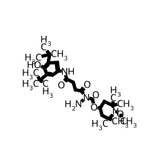 CON1C(C)(C)CC(OC(=O)N(N)C(=O)CCC(=O)Nc2cc(C(C)(C)C)c(O)c(C(C)(C)C)c2)CC1(C)C